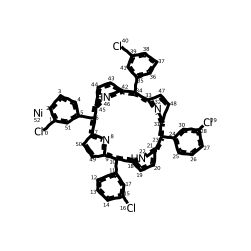 Clc1cccc(-c2c3nc(c(-c4cccc(Cl)c4)c4ccc([nH]4)c(-c4cccc(Cl)c4)c4nc(c(-c5cccc(Cl)c5)c5ccc2[nH]5)C=C4)C=C3)c1.[Ni]